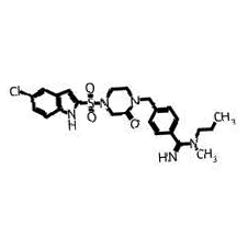 CCCN(C)C(=N)c1ccc(CN2CCN(S(=O)(=O)c3cc4cc(Cl)ccc4[nH]3)CC2=O)cc1